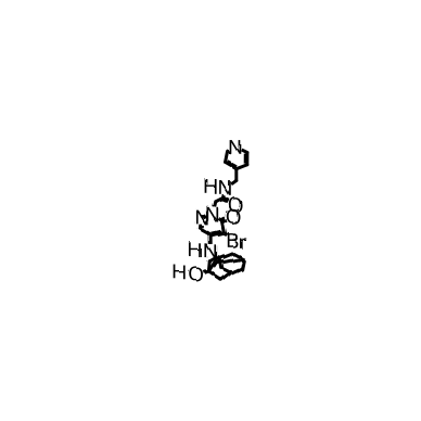 O=C(Cn1ncc(NC23CC4CC(CC(O)(C4)C2)C3)c(Br)c1=O)NCc1ccncc1